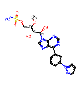 CO[C@H](COS(N)(=O)=O)[C@@H](O)[C@@H](O)n1cnc2c(-c3cccc(-n4cccn4)c3)ncnc21